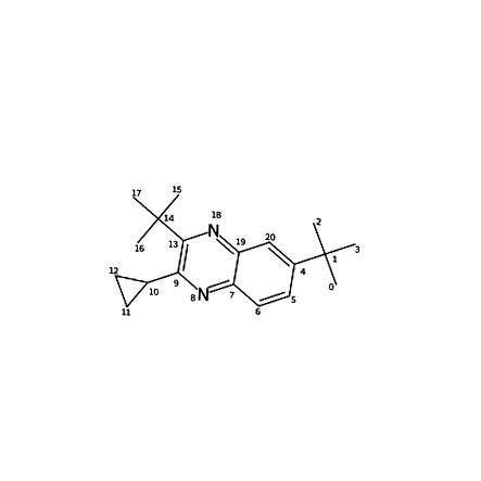 CC(C)(C)c1ccc2nc(C3CC3)c(C(C)(C)C)nc2c1